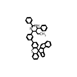 CCC1C(c2cccc(-c3ccc4c(c3)Sc3ccccc3C43c4ccccc4-c4c3ccc3ccccc43)c2)N=C(c2ccccc2)NC1c1ccccc1